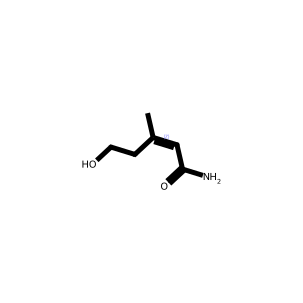 C/C(=C/C(N)=O)CCO